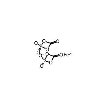 O=C1OP(=O)([O-])O1.O=C1OP(=O)([O-])O1.[Fe+2]